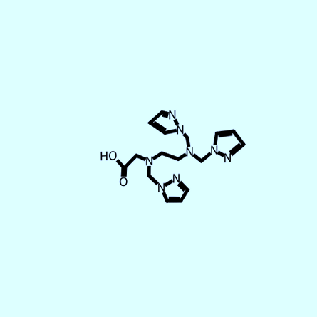 O=C(O)CN(CCN(Cn1cccn1)Cn1cccn1)Cn1cccn1